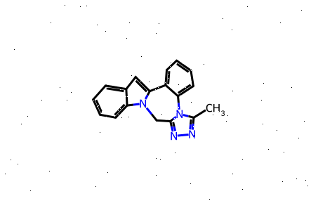 Cc1nnc2n1-c1ccccc1-c1cc3ccccc3n1C2